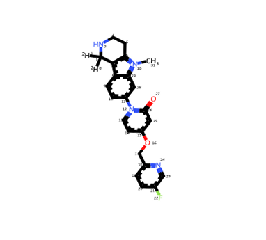 [2H]C1([2H])NCCc2c1c1ccc(-n3ccc(OCc4ccc(F)cn4)cc3=O)cc1n2C